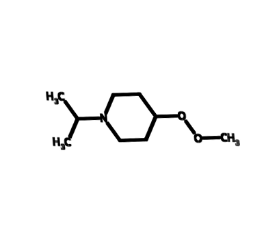 COOC1CCN(C(C)C)CC1